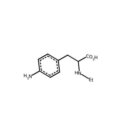 CCNC(Cc1ccc(N)cc1)C(=O)O